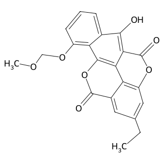 CCc1cc2oc(=O)c3c(O)c4cccc(OCOC)c4c4oc(=O)c(c1)c2c34